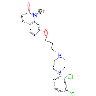 CC(C)n1c(=O)ccc2ccc(OCCCCN3CCN(c4cccc(Cl)c4Cl)CC3)cc21